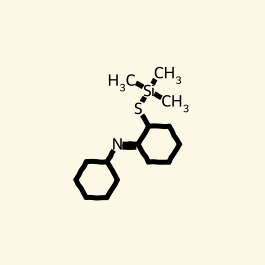 C[Si](C)(C)SC1CCCC/C1=N\C1CCCCC1